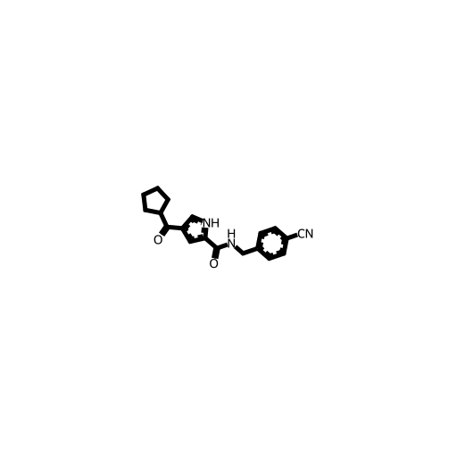 N#Cc1ccc(CNC(=O)c2cc(C(=O)C3CCCC3)c[nH]2)cc1